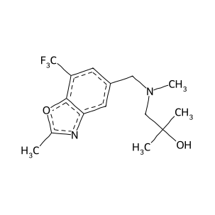 Cc1nc2cc(CN(C)CC(C)(C)O)cc(C(F)(F)F)c2o1